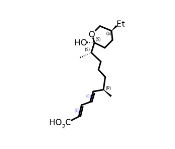 CC[C@H]1CC[C@@](O)([C@@H](C)CCC[C@@H](C)/C=C/C=C/C(=O)O)OC1